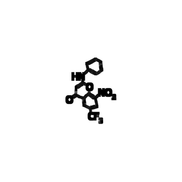 O=c1cc(Nc2ccccc2)oc2c([N+](=O)[O-])cc(C(F)(F)F)cc12